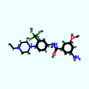 CCN1CCN(c2ccc(NC(=O)c3cc(N)cc(OC)c3)cc2C(F)(F)F)CC1